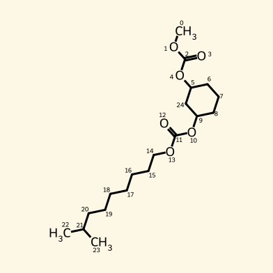 COC(=O)OC1CCCC(OC(=O)OCCCCCCCC(C)C)C1